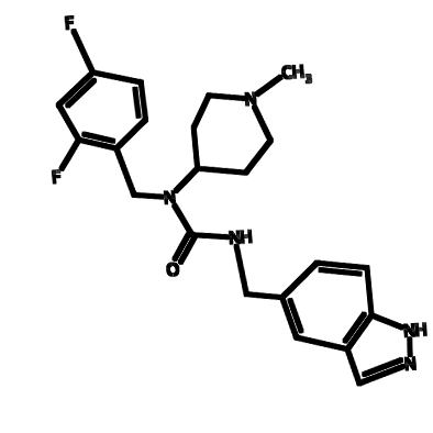 CN1CCC(N(Cc2ccc(F)cc2F)C(=O)NCc2ccc3[nH]ncc3c2)CC1